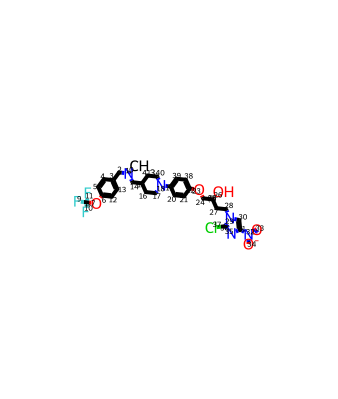 CN(Cc1ccc(OC(F)(F)F)cc1)CC1CCN(c2ccc(OC[C@H](O)CCn3cc([N+](=O)[O-])nc3Cl)cc2)CC1